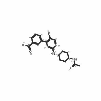 CC(=O)N[C@H]1CC[C@H](Nc2ncc(F)c(-c3cccc(C(=O)O)c3)n2)CC1